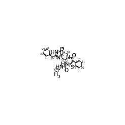 CCNC(=O)Nc1sc2ccccc2c1C(=O)N1CCC2(CC1)N=C(Cc1ccccc1)NC2=O